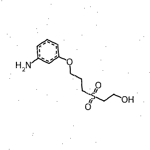 Nc1cccc(OCCCS(=O)(=O)CCO)c1